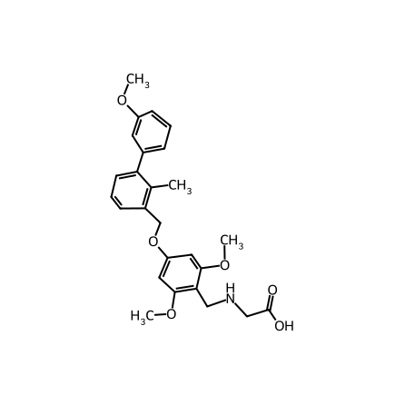 COc1cccc(-c2cccc(COc3cc(OC)c(CNCC(=O)O)c(OC)c3)c2C)c1